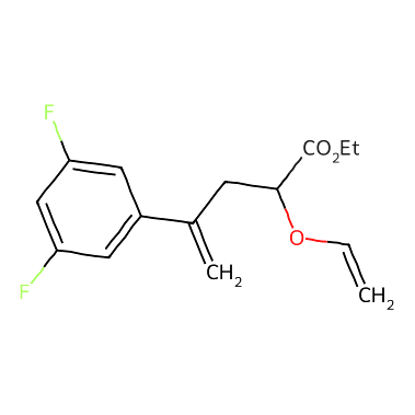 C=COC(CC(=C)c1cc(F)cc(F)c1)C(=O)OCC